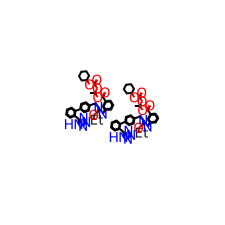 CCOc1nc2cccc(C(=O)OC(C)OC(=O)OC3CCCCC3)c2n1Cc1ccc(-c2ccccc2-c2nnn[nH]2)cc1.CCOc1nc2cccc(C(=O)OC(C)OC(=O)OC3CCCCC3)c2n1Cc1ccc(-c2ccccc2-c2nnn[nH]2)cc1